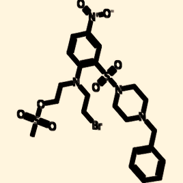 CS(=O)(=O)OCCN(CCBr)c1ccc([N+](=O)[O-])cc1S(=O)(=O)N1CCN(Cc2ccccc2)CC1